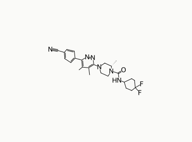 Cc1c(-c2ccc(C#N)cc2)nnc(N2CCN(C(=O)NC3CCC(F)(F)CC3)[C@@H](C)C2)c1C